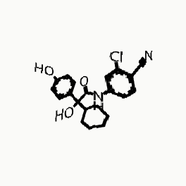 N#Cc1ccc(NC(=O)C(O)(c2ccc(O)cc2)C2CCCCC2)cc1Cl